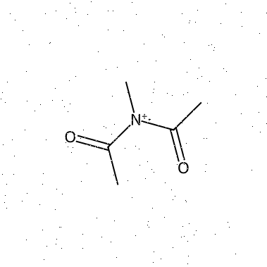 CC(=O)[N+](C)C(C)=O